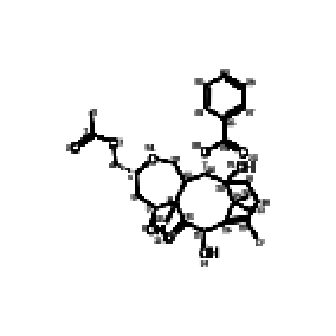 CC(=O)OC[C@H]1C[C@H](O)[C@@]2(C)C(=O)[C@H](O)C3=C(C)CC[C@@](O)([C@@H](OC(=O)c4ccccc4)C2CO1)C3(C)C